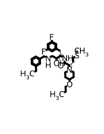 CCCOC1CCN([C@@H](CCSC)C(=O)N[C@@H](Cc2cc(F)cc(F)c2)[C@@H](O)CNCc2cccc(CC)c2)CC1